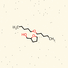 CCCCCOCCCCC.OCC1CCCO1